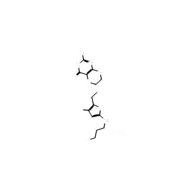 Cc1cc(N[C@@H](CCC(=O)O)C(=O)O)sc1CC[C@H]1CNc2nc(N)[nH]c(=O)c2S1